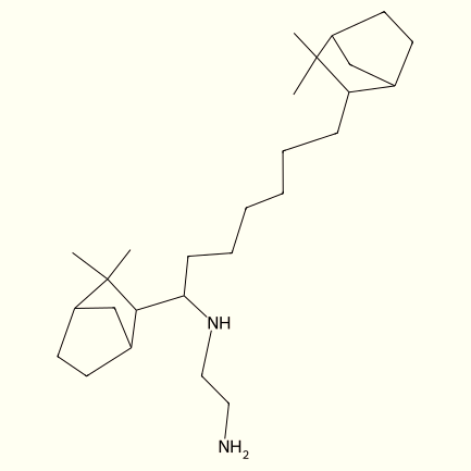 CC1(C)C2CCC(C2)C1CCCCCCC(NCCN)C1C2CCC(C2)C1(C)C